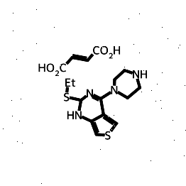 CCSC1N=C(N2CCNCC2)c2cscc2N1.O=C(O)C=CC(=O)O